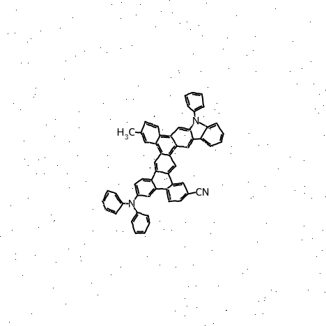 Cc1ccc2c(c1)c1cc3c4ccc(N(c5ccccc5)c5ccccc5)cc4c4ccc(C#N)cc4c3cc1c1cc3c4ccccc4n(-c4ccccc4)c3cc21